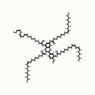 CC/C=C\C/C=C\C/C=C\CCCCCCCC(=O)Oc1cc(OC(=O)CCCCCCC/C=C\CCCCCCCC)cc2c1C[C@@H](OC(=O)CCCCCCC/C=C\CCCCCCCC)C(c1ccc(OC)c(OC(=O)CCCCCCC/C=C\C/C=C\CCCCC)c1)O2